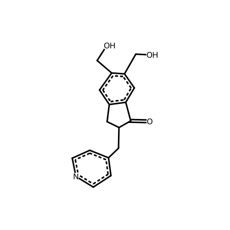 O=C1c2cc(CO)c(CO)cc2CC1Cc1ccncc1